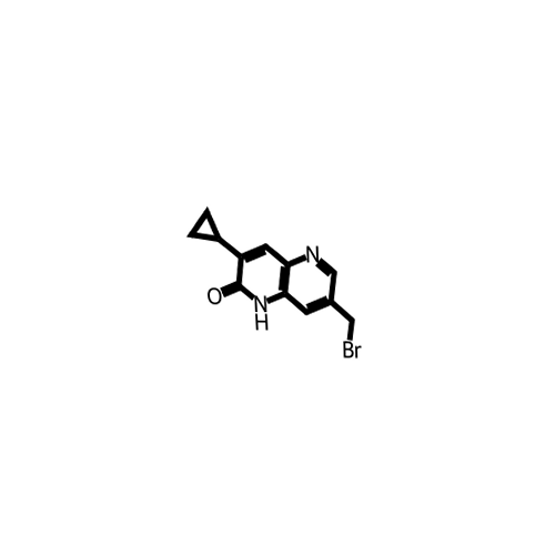 O=c1[nH]c2cc(CBr)cnc2cc1C1CC1